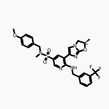 COc1ccc(CN(C)S(=O)(=O)c2cnc(NCc3cccc(C(F)(F)F)c3)c(-c3cn4c(n3)O[C@H](C)C4)c2)cc1